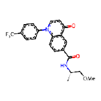 COC[C@H](C)NC(=O)c1ccc2c(c1)c(=O)ccn2-c1ccc(C(F)(F)F)cc1